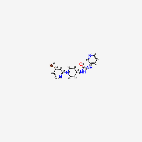 O=C(Nc1cccnc1)NC1CCN(c2cc(Br)ccn2)CC1